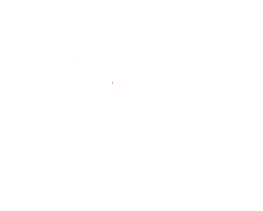 C=C(C)COCc1c2ccccc2cc2ccccc12